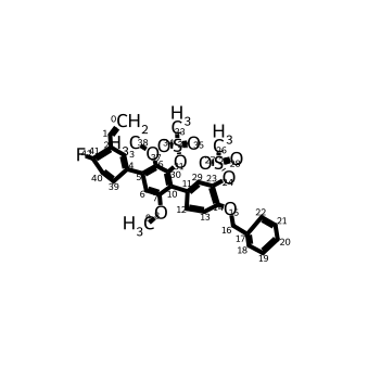 C=Cc1cc(-c2cc(OC)c(-c3ccc(OCc4ccccc4)c(OS(C)(=O)=O)c3)c(OS(C)(=O)=O)c2OC)ccc1F